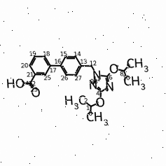 CC(C)Oc1nc(OC(C)C)n(Cc2ccc(-c3cccc(C(=O)O)c3)cc2)n1